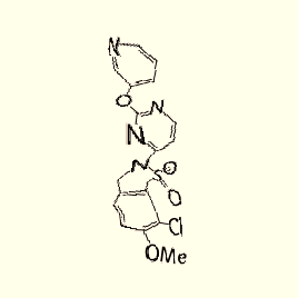 COc1ccc2c(c1Cl)S(=O)(=O)N(c1ccnc(Oc3cccnc3)n1)C2